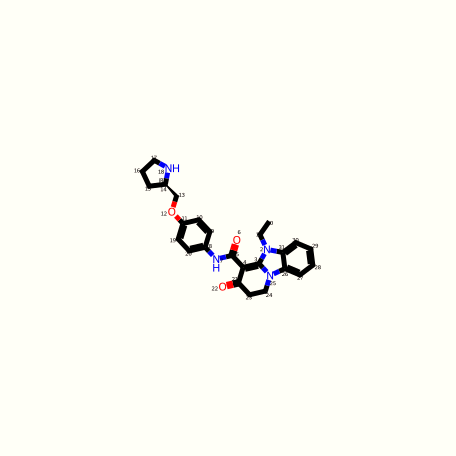 CCN1C2=C(C(=O)Nc3ccc(OC[C@H]4CCCN4)cc3)C(=O)CCN2c2ccccc21